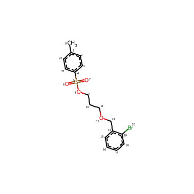 Cc1ccc(S(=O)(=O)OCCCOCc2ccccc2Br)cc1